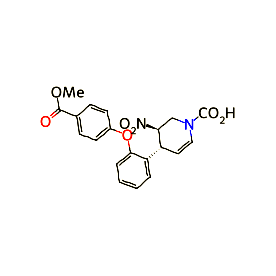 COC(=O)c1ccc(Oc2ccccc2[C@H]2C=CN(C(=O)O)C[C@@H]2[N+](=O)[O-])cc1